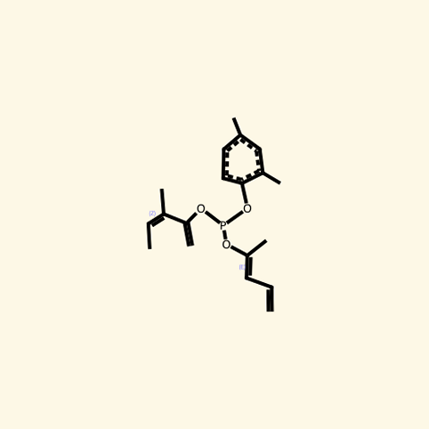 C=C/C=C(\C)OP(OC(=C)/C(C)=C\C)Oc1ccc(C)cc1C